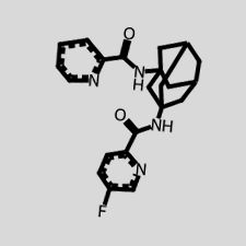 O=C(NC12CC3CC(C1)CC(NC(=O)c1ccc(F)cn1)(C3)C2)c1ccccn1